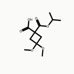 COC1(OC)CC(C(=O)O)(C(=O)OC(C)C)C1